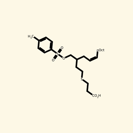 CCCCCCCC/C=C\CC(CCSCCC(=O)O)COS(=O)(=O)c1ccc(C)cc1